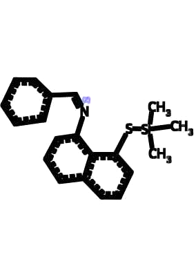 C[Si](C)(C)Sc1cccc2cccc(/N=C\c3ccccc3)c12